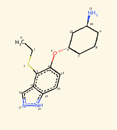 CCSc1c(O[C@H]2CCC[C@H](N)C2)ccc2[nH]ncc12